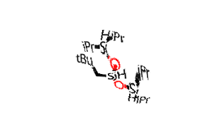 CC(C)[SiH](O[SiH](CC(C)(C)C)O[SiH](C(C)C)C(C)C)C(C)C